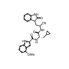 COc1cccc2[nH]c(C(=O)N[C@@H](CC3CC3)C(=O)N[C@H](C#N)CC3C(=O)Nc4ccccc43)cc12